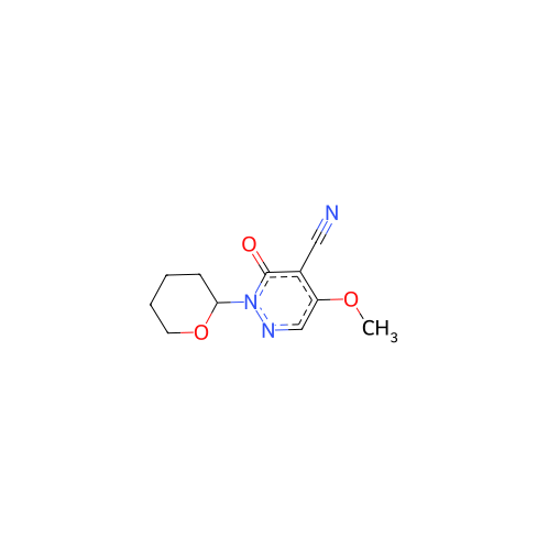 COc1cnn(C2CCCCO2)c(=O)c1C#N